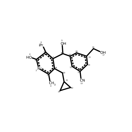 Cc1nc(O)c(C(C)C)c(C(O)c2cc(C#N)cc(CO)c2)c1CC1CC1